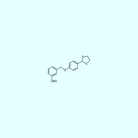 CSc1cccc(COc2ccc(C3SCCS3)cc2)c1